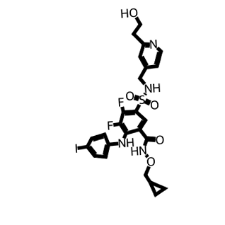 O=C(NOCC1CC1)c1cc(S(=O)(=O)NCc2ccnc(CCO)c2)c(F)c(F)c1Nc1ccc(I)cc1